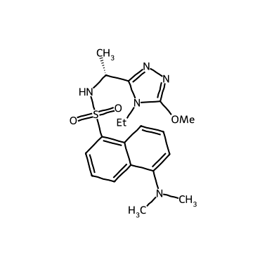 CCn1c(OC)nnc1[C@@H](C)NS(=O)(=O)c1cccc2c(N(C)C)cccc12